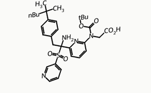 CCCCC(C)(C)c1ccc(CC(N)(c2cccc(N(CC(=O)O)C(=O)OC(C)(C)C)n2)S(=O)(=O)c2cccnc2)cc1